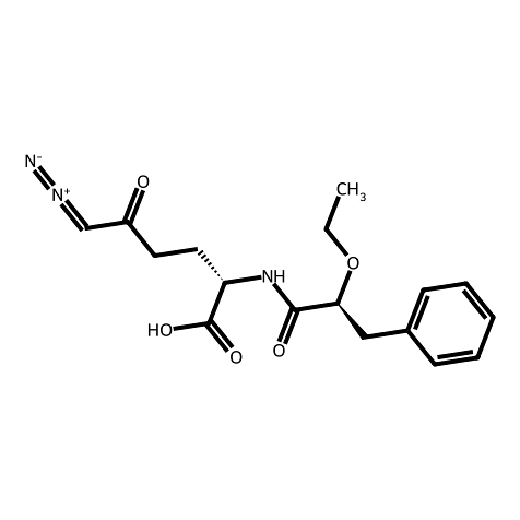 CCO[C@@H](Cc1ccccc1)C(=O)N[C@@H](CCC(=O)C=[N+]=[N-])C(=O)O